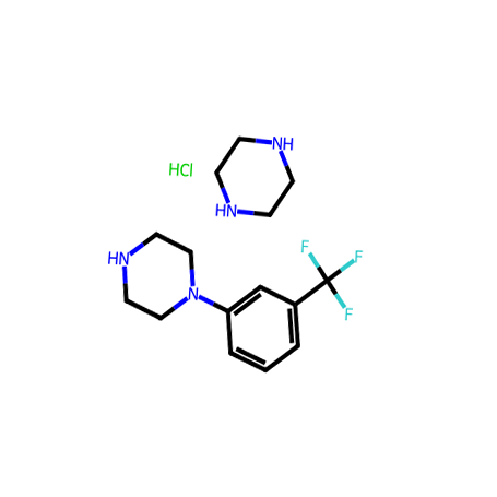 C1CNCCN1.Cl.FC(F)(F)c1cccc(N2CCNCC2)c1